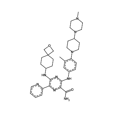 Cc1cc(Nc2nc(NC3CCC4(CC3)COC4)c(-c3ccccn3)nc2C(N)=O)ccc1N1CCC(N2CCN(C)CC2)CC1